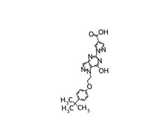 CC(C)(C)c1ccc(OCCn2ncc3nc(-n4cc(C(=O)O)cn4)nc(O)c32)cc1